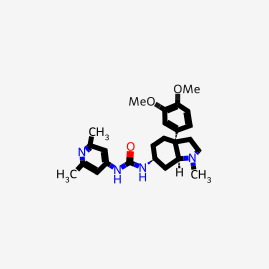 COc1ccc([C@@]23CC[C@@H](NC(=O)Nc4cc(C)nc(C)c4)C[C@@H]2N(C)CC3)cc1OC